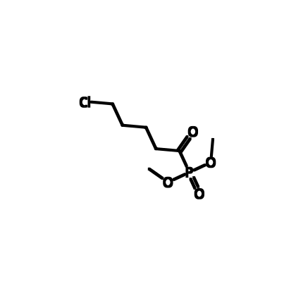 COP(=O)(OC)C(=O)CCCCCl